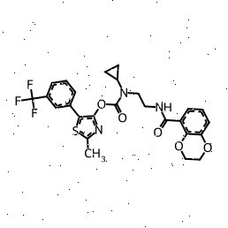 Cc1nc(OC(=O)N(CCNC(=O)c2cccc3c2OCCO3)C2CC2)c(-c2cccc(C(F)(F)F)c2)s1